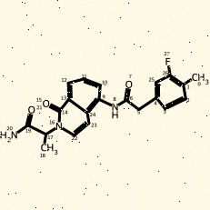 Cc1ccc(CC(=O)Nc2cccc3c(=O)n(C(C)C(N)=O)ccc23)cc1F